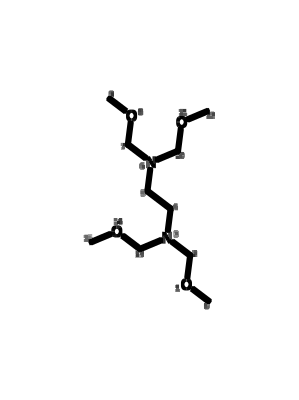 COCN(CCN(COC)COC)COC